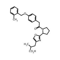 Cc1ccccc1COc1ccc(CC(=O)N2CCCC2c2nc(CC(C)C(=O)O)co2)cc1